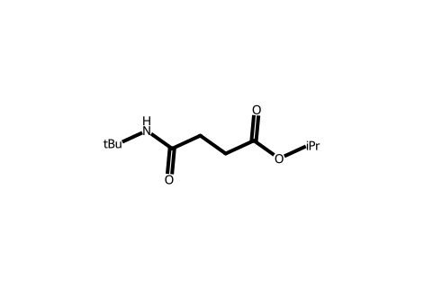 CC(C)OC(=O)CCC(=O)NC(C)(C)C